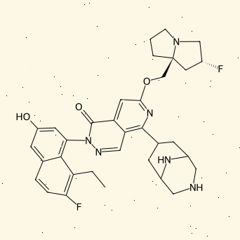 CCc1c(F)ccc2cc(O)cc(-n3ncc4c(C5CC6CNCC(C5)N6)nc(OC[C@@]56CCCN5C[C@H](F)C6)cc4c3=O)c12